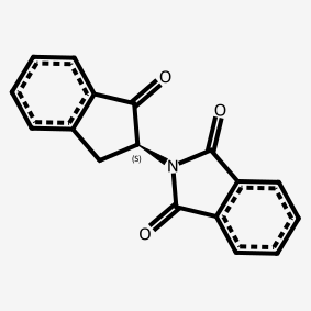 O=C1c2ccccc2C[C@@H]1N1C(=O)c2ccccc2C1=O